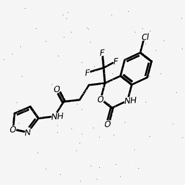 O=C(CCC1(C(F)(F)F)OC(=O)Nc2ccc(Cl)cc21)Nc1ccon1